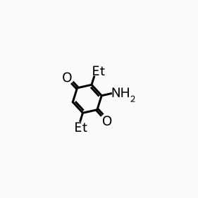 CCC1=CC(=O)C(CC)=C(N)C1=O